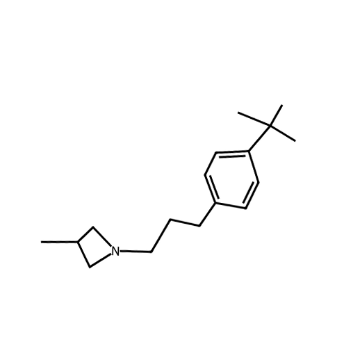 CC1CN(CCCc2ccc(C(C)(C)C)cc2)C1